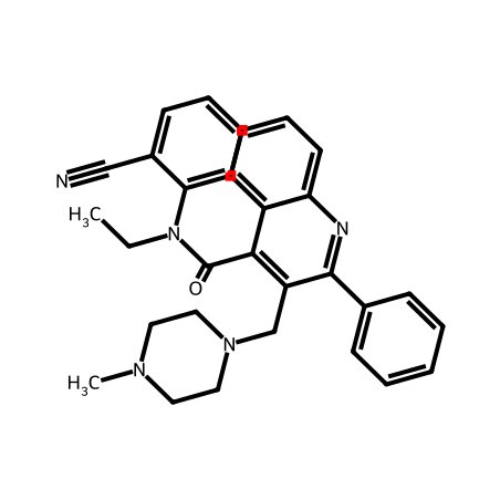 CCN(C(=O)c1c(CN2CCN(C)CC2)c(-c2ccccc2)nc2ccccc12)c1ccccc1C#N